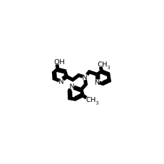 Cc1cccnc1CN(CCc1cc(O)ccn1)Cc1ncccc1C